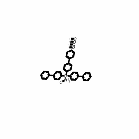 O=[PH2][Fe]([c]1ccc(-c2ccccc2)cc1)([c]1ccc(-c2ccccc2)cc1)[c]1ccc(-c2ccccc2)cc1.[C]=O.[C]=O.[C]=O.[C]=O